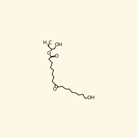 CCC(CO)OC(=O)CCCCCCCC1OC1CCCCCCCCO